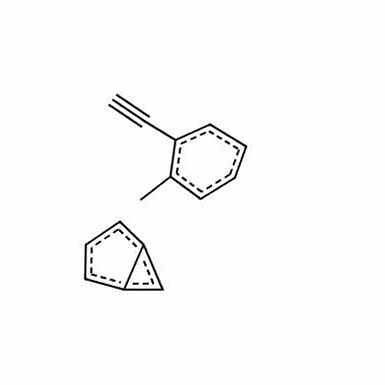 C#Cc1ccccc1C.c1cc2cc-2c1